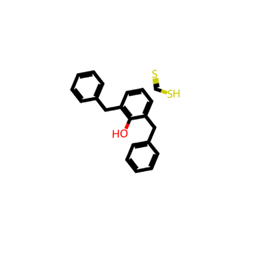 Oc1c(Cc2ccccc2)cccc1Cc1ccccc1.S=CS